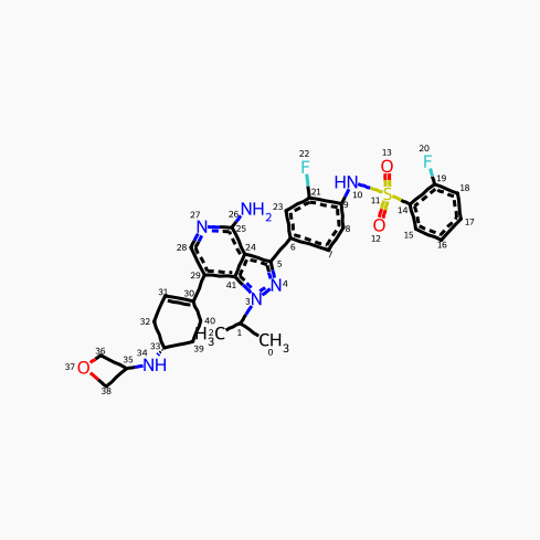 CC(C)n1nc(-c2ccc(NS(=O)(=O)c3ccccc3F)c(F)c2)c2c(N)ncc(C3=CC[C@@H](NC4COC4)CC3)c21